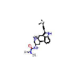 CCN(CC)C(=O)N[C@@H]1CC2c3cccc4[nH]c(C#C[Si](C)(C)C)c(c34)C[C@H]2N(C)C1